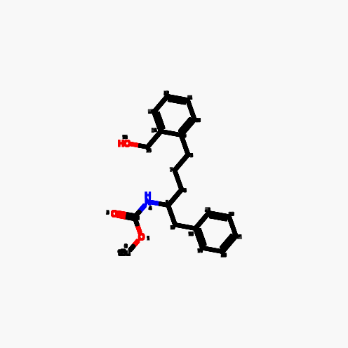 CC(C)(C)OC(=O)NC(CCCc1ccccc1CO)Cc1ccccc1